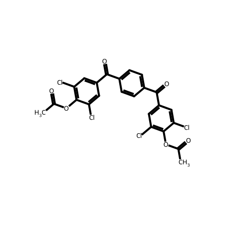 CC(=O)Oc1c(Cl)cc(C(=O)c2ccc(C(=O)c3cc(Cl)c(OC(C)=O)c(Cl)c3)cc2)cc1Cl